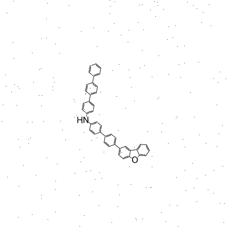 c1ccc(-c2ccc(-c3ccc(Nc4ccc(-c5ccc(-c6ccc7oc8ccccc8c7c6)cc5)cc4)cc3)cc2)cc1